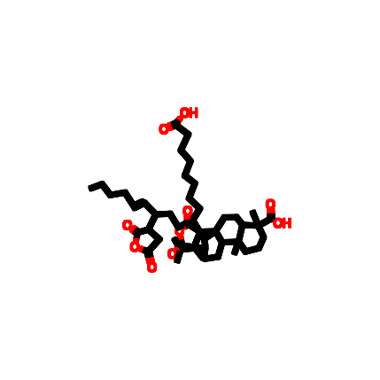 CCCC/C=C/C(CCC(CCCCCCCC(=O)O)C1C(C(C)C)C2CC3C4(C)CCCC(C)(C(=O)O)C4CCC13C1C(=O)OC(=O)C21)C1CC(=O)OC1=O